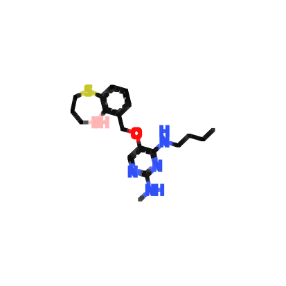 CCCCNc1nc(NC)ncc1OCc1cccc2c1BCCCS2